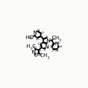 Cc1noc(C)c1-c1cnc2c(c1)c(-c1ccnc(O)c1)cn2C(C)c1ccccn1